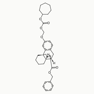 O=C(OCOc1ccc2c(c1)[C@@]13CCCC[C@H]1[C@@H](C2)N(C(=O)OCc1ccccc1)CC3)OC1CCCCCC1